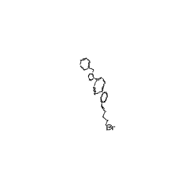 BrCCCCCOc1ccc(OCc2ccccc2)cc1